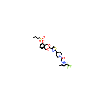 CCCCS(=O)(=O)Oc1cccc2c1COC(c1csc(C3CCN(C(=O)Cn4nc(C(F)(F)F)cc4C)CC3)n1)OC2